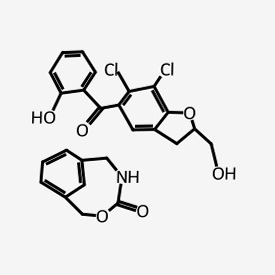 O=C(c1ccccc1O)c1cc2c(c(Cl)c1Cl)OC(CO)C2.O=C1NCc2cccc(c2)CO1